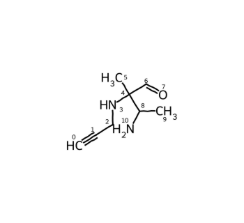 C#CCNC(C)(C=O)C(C)N